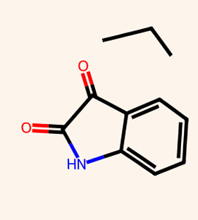 CCC.O=C1Nc2ccccc2C1=O